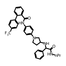 CCCNC(=O)C(NC1CCN(c2ccc(NC(=O)c3ccccc3-c3ccc(C(F)(F)F)cc3)cc2)C1)c1ccccc1